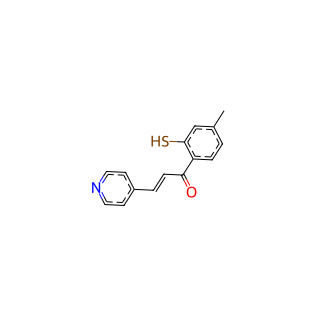 Cc1ccc(C(=O)/C=C/c2ccncc2)c(S)c1